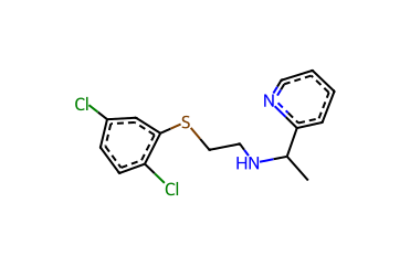 CC(NCCSc1cc(Cl)ccc1Cl)c1ccccn1